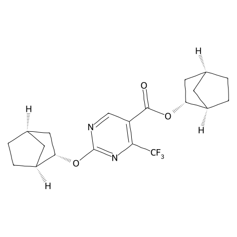 O=C(O[C@@H]1C[C@H]2CC[C@@H]1C2)c1cnc(O[C@H]2C[C@@H]3CC[C@H]2C3)nc1C(F)(F)F